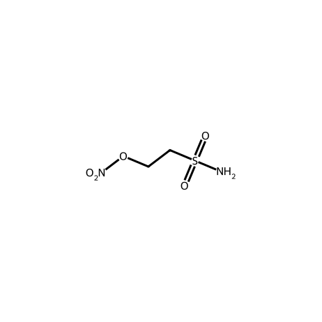 NS(=O)(=O)CCO[N+](=O)[O-]